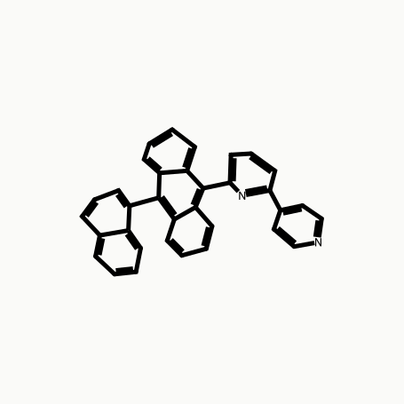 c1cc(-c2ccncc2)nc(-c2c3ccccc3c(-c3cccc4ccccc34)c3ccccc23)c1